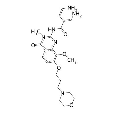 COc1c(OCCCN2CCOCC2)ccc2c(=O)n(C)c(NC(=O)C(/C=C\N)=C/N)nc12